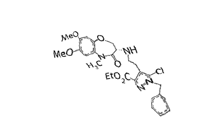 CCOC(=O)c1nn(Cc2ccccc2)c(Cl)c1CCN[C@H]1COc2cc(OC)c(OC)cc2N(C)C1=O